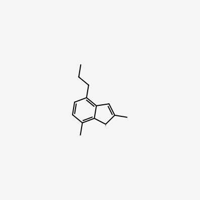 CCCc1ccc(C)c2c1C=C(C)[CH]2